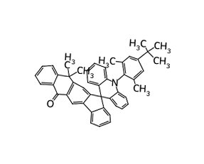 Cc1cc(C(C)(C)C)cc(C)c1N1c2ccccc2C2(c3ccccc3-c3cc4c(cc32)C(C)(C)c2ccccc2C4=O)c2ccccc21